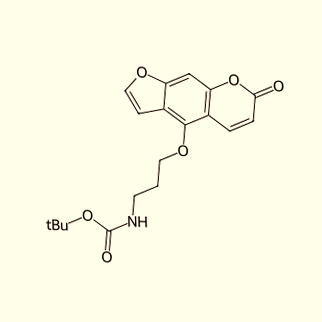 CC(C)(C)OC(=O)NCCCOc1c2ccoc2cc2oc(=O)ccc12